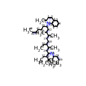 C=C/C=C\c1ccccc1\N=C(/C=C(C)/C(C)=C/C=C(C=C)/C(C)=C/C(/N=C(/C=C\C)C(C)C)=C(/C=C)CC)CCC/C=C\C